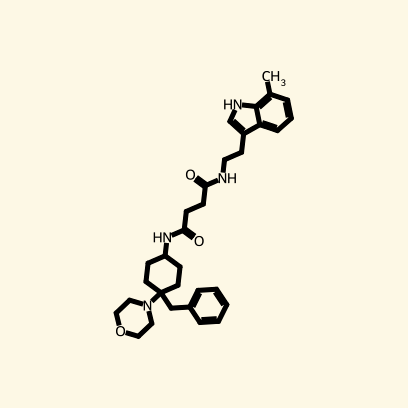 Cc1cccc2c(CCNC(=O)CCC(=O)NC3CCC(Cc4ccccc4)(N4CCOCC4)CC3)c[nH]c12